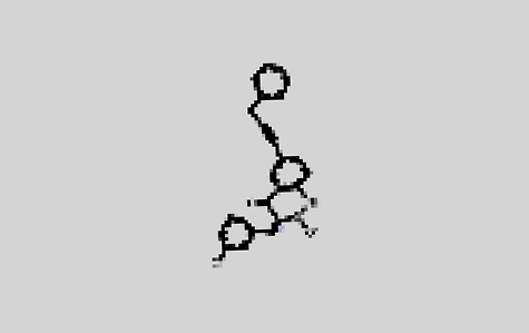 O=C1/C(=C\c2cccc(Cl)c2)[S+]([O-])Nc2ccc(C#CCc3ccccc3)cc21